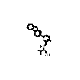 CC(C)[C@H](CO)NCc1nc(-c2ccc3c(c2)Cc2ccccc2-3)ccc1F